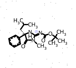 CC(C)C[C@]1(c2ccccc2)N/C(=N/C(=O)OC(C)(C)C)N(C)C1=O